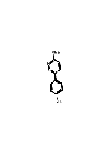 COc1ccc(-c2c[c]c(C)cc2)nn1